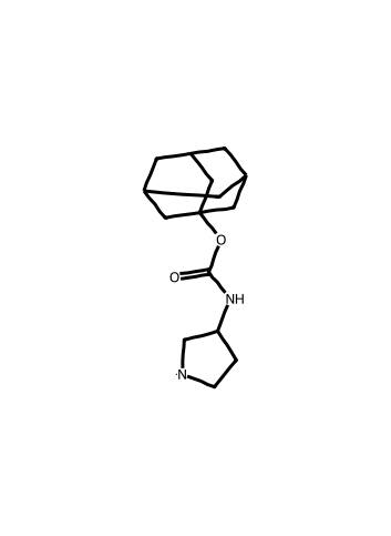 O=C(NC1CC[N]C1)OC12CC3CC(CC(C3)C1)C2